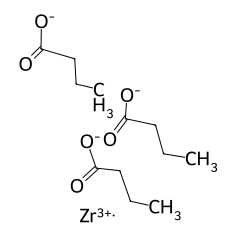 CCCC(=O)[O-].CCCC(=O)[O-].CCCC(=O)[O-].[Zr+3]